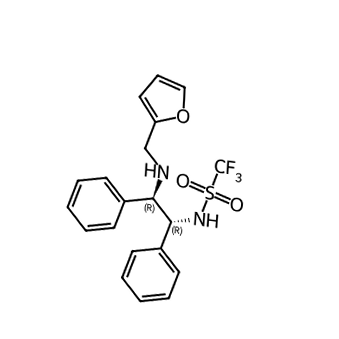 O=S(=O)(N[C@H](c1ccccc1)[C@H](NCc1ccco1)c1ccccc1)C(F)(F)F